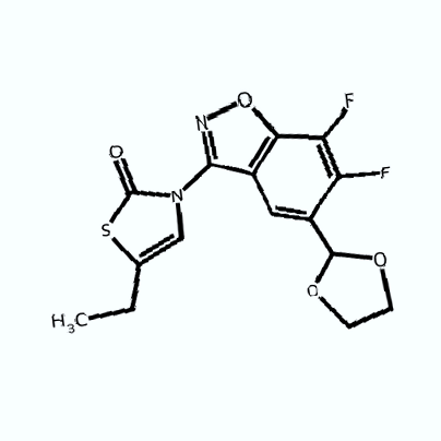 CCc1cn(-c2noc3c(F)c(F)c(C4OCCO4)cc23)c(=O)s1